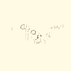 CC(C)[C@]1(C(=O)O)CC[C@@H](N2C[C@H](c3nc(-c4ccc(C(=O)Nc5cc(C(F)(F)F)ccn5)cc4F)c4c(N)ncc(Cl)n34)OC[C@@H]2C)CC1